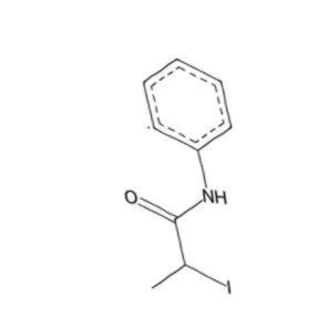 CC(I)C(=O)Nc1[c]cccc1